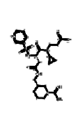 N=C(N)N1CCC[C@@H](CNC(=O)C[C@H](NS(=O)(=O)c2cccnc2)C(=O)N(CCC(=O)O)C2CC2)C1